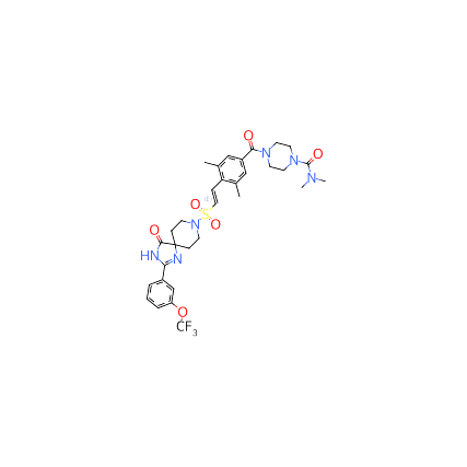 Cc1cc(C(=O)N2CCN(C(=O)N(C)C)CC2)cc(C)c1/C=C/S(=O)(=O)N1CCC2(CC1)N=C(c1cccc(OC(F)(F)F)c1)NC2=O